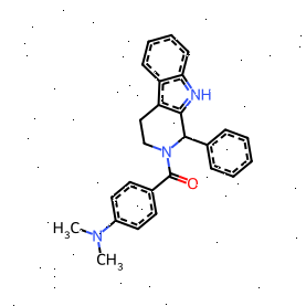 CN(C)c1ccc(C(=O)N2CCc3c([nH]c4ccccc34)C2c2ccccc2)cc1